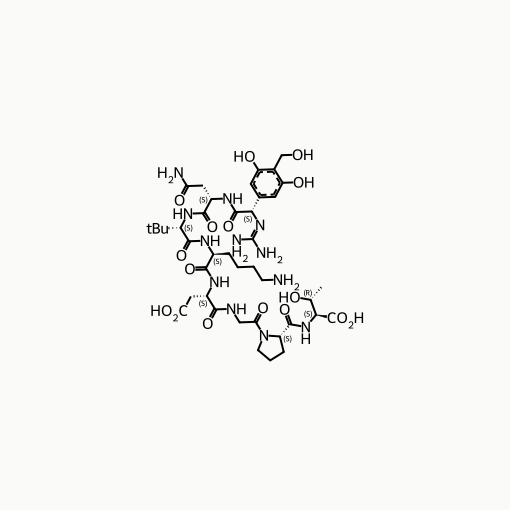 C[C@@H](O)[C@H](NC(=O)[C@@H]1CCCN1C(=O)CNC(=O)[C@H](CC(=O)O)NC(=O)[C@H](CCCCN)NC(=O)[C@@H](NC(=O)[C@H](CC(N)=O)NC(=O)[C@@H](N=C(N)N)c1cc(O)c(CO)c(O)c1)C(C)(C)C)C(=O)O